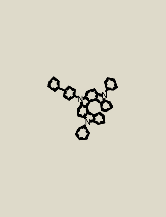 c1ccc(-c2ccc(-n3c4ccc5c(c6ccccc6n5-c5ccccc5)c4c4c5c6ccccc6n(-c6ccccc6)c5ccc43)cc2)cc1